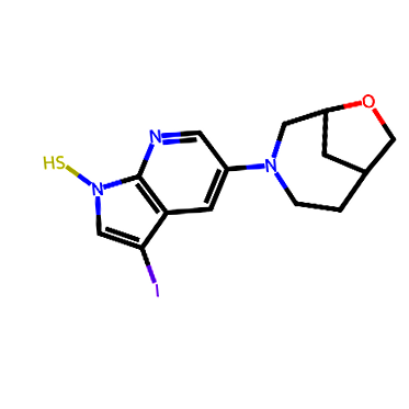 Sn1cc(I)c2cc(N3CCC4COC(C4)C3)cnc21